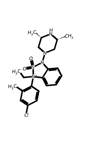 CC[N+]1(c2ccc(Cl)cc2C)c2ccccc2N(N2C[C@@H](C)N[C@@H](C)C2)S1(=O)=O